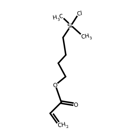 C=CC(=O)OCCCC[Si](C)(C)Cl